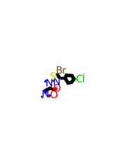 COC(=O)/C(=C\N(C)C)N(C)c1nc(-c2ccc(Cl)cc2)c(Br)s1